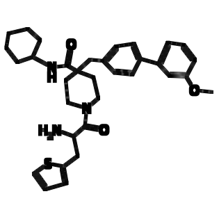 COc1cccc(-c2ccc(CC3(C(=O)NC4CCCCC4)CCN(C(=O)C(N)Cc4cccs4)CC3)cc2)c1